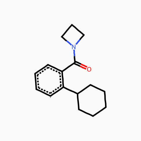 O=C(c1ccc[c]c1C1CCCCC1)N1CCC1